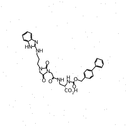 O=C(CN1C(=O)CN(CCCNc2nc3ccccc3[nH]2)C1=O)NC[C@H](NC(=O)OCc1ccc(-c2ccccc2)cc1)C(=O)O